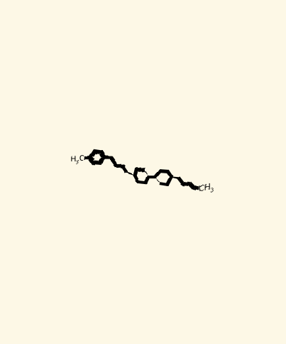 CCCCC[C@H]1CC[C@H]([C@H]2CC[C@H](CCCCc3ccc(C)cc3)CC2)CC1